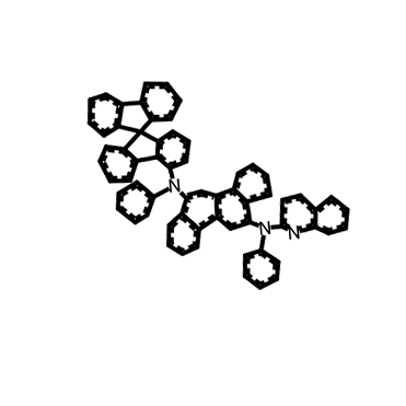 c1ccc(N(c2ccc3ccccc3n2)c2cc3c4ccccc4c(N(c4ccccc4)c4cccc5c4-c4ccccc4C54c5ccccc5-c5ccccc54)cc3c3ccccc23)cc1